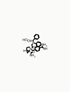 Cl.Cl.N=C(N)c1ccc(C[N+]2(C(=O)CN(Cc3ccccc3)c3ccccc3)CC[C@@H]3C[C@@]32C(N)=O)cc1